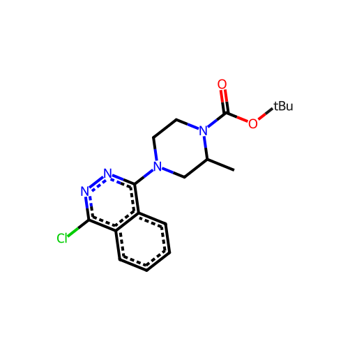 CC1CN(c2nnc(Cl)c3ccccc23)CCN1C(=O)OC(C)(C)C